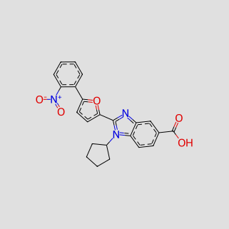 O=C(O)c1ccc2c(c1)nc(-c1ccc(-c3ccccc3[N+](=O)[O-])o1)n2C1CCCC1